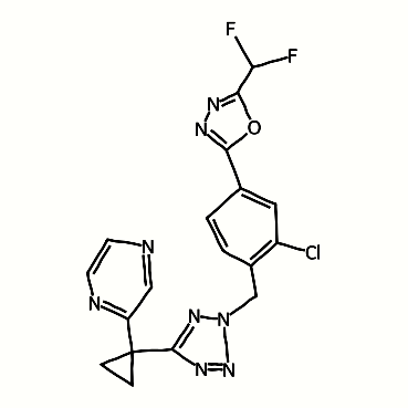 FC(F)c1nnc(-c2ccc(Cn3nnc(C4(c5cnccn5)CC4)n3)c(Cl)c2)o1